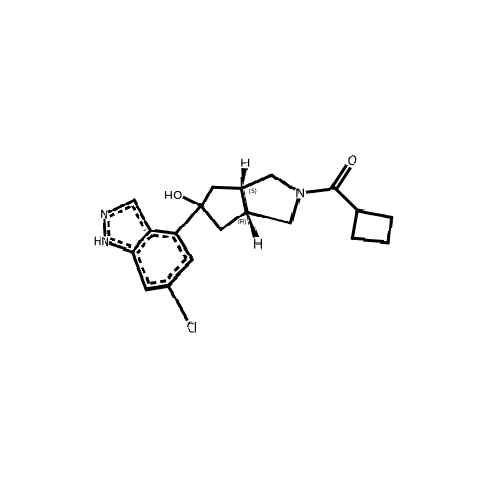 O=C(C1CCC1)N1C[C@@H]2CC(O)(c3cc(Cl)cc4[nH]ncc34)C[C@@H]2C1